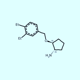 CCc1ccc(CO[C@H]2CCC[C@@H]2N)cc1CC